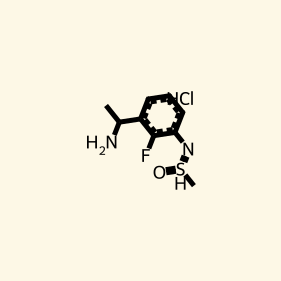 CC(N)c1cccc(N=[SH](C)=O)c1F.Cl